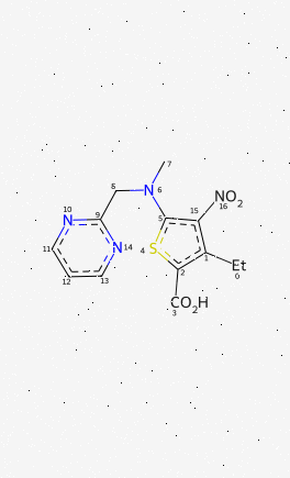 CCc1c(C(=O)O)sc(N(C)Cc2ncccn2)c1[N+](=O)[O-]